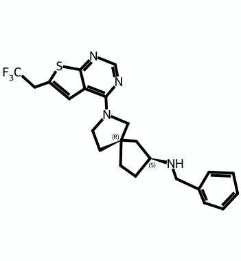 FC(F)(F)Cc1cc2c(N3CC[C@@]4(CC[C@H](NCc5ccccc5)C4)C3)ncnc2s1